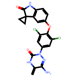 C=C1NC(=O)N(c2cc(Cl)c(Oc3ccc4c(c3)C3(CC3)C(=O)N4)c(Cl)c2)N=C1N